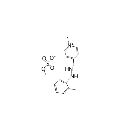 COS(=O)(=O)[O-].Cc1ccccc1NNCc1cc[n+](C)cc1